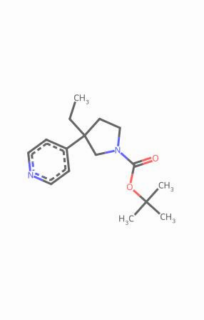 CCC1(c2ccncc2)CCN(C(=O)OC(C)(C)C)C1